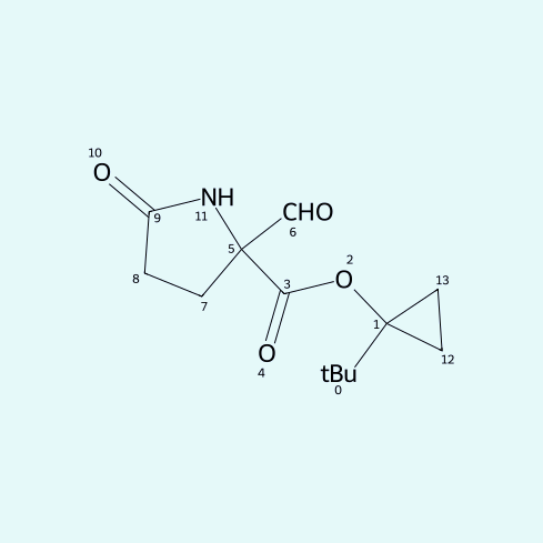 CC(C)(C)C1(OC(=O)C2(C=O)CCC(=O)N2)CC1